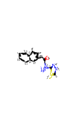 O=C(Nc1nncs1)c1ccc2ccccc2c1